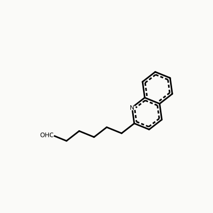 O=CCCCCCc1ccc2ccccc2n1